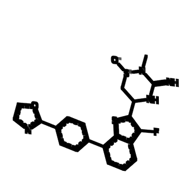 CN1C(=N)NC(c2sc3c(-c4ccc(-c5ncco5)cc4)cccc3c2F)C[S+]1[O-]